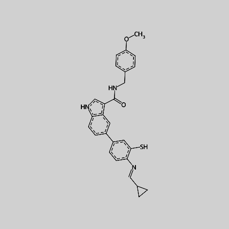 COc1ccc(CNC(=O)c2c[nH]c3ccc(-c4ccc(/N=C/C5CC5)c(S)c4)cc23)cc1